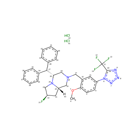 COc1ccc(-n2nnnc2C(F)(F)F)cc1CN1C[C@@H]2C[C@@H](F)CN2[C@H](C(c2ccccc2)c2ccccc2)C1.Cl.Cl